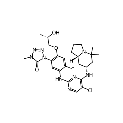 C[C@H](O)COc1cc(F)c(Nc2ncc(Cl)c(N[C@@H]3C[C@@H]4CCCN4C(C)(C)C3)n2)cc1-n1nnn(C)c1=O